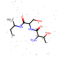 CC(C)CC(NC(=O)C(CO)NC(=O)C(N)C(C)O)C(=O)O